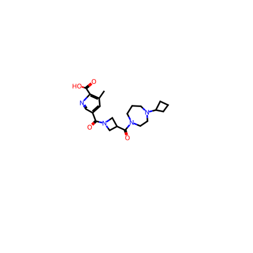 Cc1cc(C(=O)N2CC(C(=O)N3CCCN(C4CCC4)CC3)C2)cnc1C(=O)O